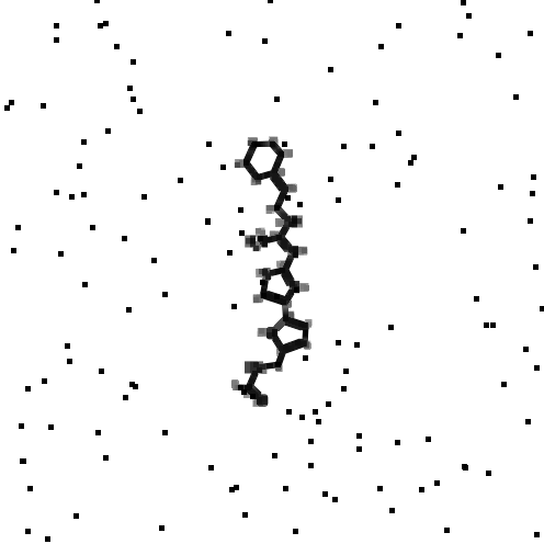 CC(=O)NCc1ccc(-c2csc(/N=C(\N)NCC=C3CCCCC3)n2)o1